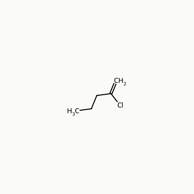 C=C(Cl)CCC